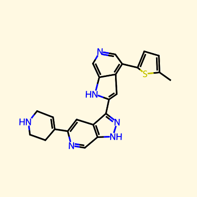 Cc1ccc(-c2cncc3[nH]c(-c4n[nH]c5cnc(C6=CCNCC6)cc45)cc23)s1